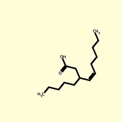 CCCCC/C=C\C(CCCCC)CC(=O)O